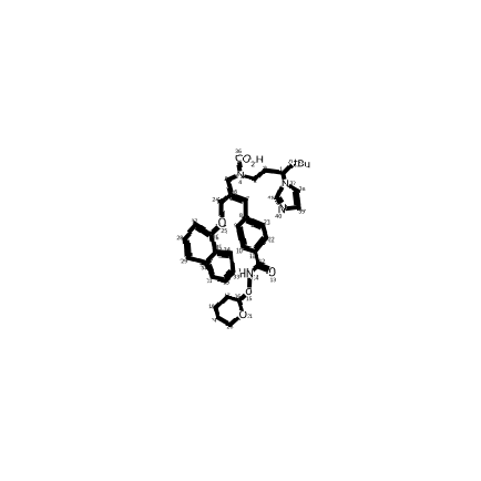 CC(C)(C)C(CCN(CC(=Cc1ccc(C(=O)NOC2CCCCO2)cc1)COc1cccc2ccccc12)C(=O)O)n1ccnc1